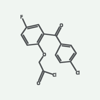 O=C(Cl)COc1ccc(F)cc1C(=O)c1ccc(Cl)cc1